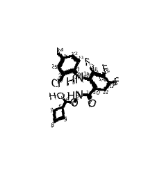 O=C(NOC(O)C1CCC1)c1cc(F)c(F)c(F)c1Nc1ccc(I)cc1Cl